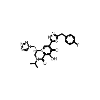 CC(C)N1C[C@H](Cn2cnnn2)n2cc(-c3nnc(Cc4ccc(F)cc4)s3)c(=O)c(O)c2C1=O